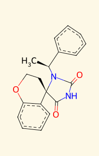 C[C@@H](c1ccccc1)N1C(=O)NC(=O)[C@@]12CCOc1ccccc12